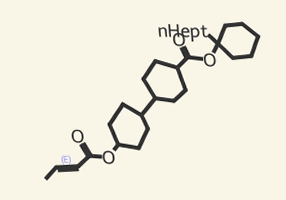 C/C=C/C(=O)OC1CCC(C2CCC(C(=O)OC3(CCCCCCC)CCCCC3)CC2)CC1